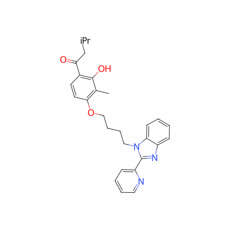 Cc1c(OCCCCn2c(-c3ccccn3)nc3ccccc32)ccc(C(=O)CC(C)C)c1O